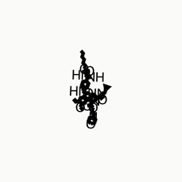 C=Cc1cc(C(=O)Nc2ccc(C(=N)NC(=O)OCCCCCC)cc2)c(-c2ccc(C(=O)NCC3CC3)nc2C(=O)OCCN2CCOCC2)cc1OC